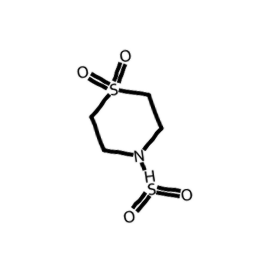 O=[SH](=O)N1CCS(=O)(=O)CC1